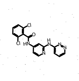 O=C(Nc1ccnc(Nc2cccnn2)c1)c1c(Cl)cccc1Cl